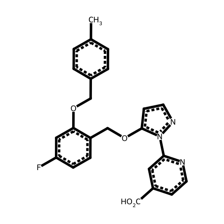 Cc1ccc(COc2cc(F)ccc2COc2ccnn2-c2cc(C(=O)O)ccn2)cc1